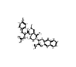 CCCC1C(=O)N(C(Cc2ccc3ccccc3c2)C(=O)NC)CCN1C(=O)C(Cc1ccc(F)cc1)NC(C)=O